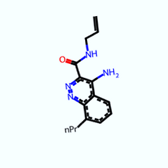 C=CCNC(=O)c1nnc2c(CCC)cccc2c1N